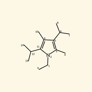 CCn1c(C)c(C(C)C)c(C)c1C(C)C